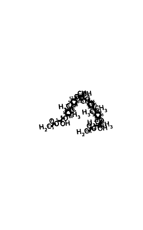 C=CC(=O)OCC(O)COc1ccc(C(C)(C)c2ccc(OC(C)(CC)C(O)COc3ccc(C(C)(C)c4ccc(OC(C)(C)C(O)COC(=O)C=C)cc4)cc3)cc2)cc1